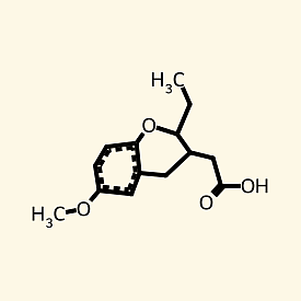 CCC1Oc2ccc(OC)cc2CC1CC(=O)O